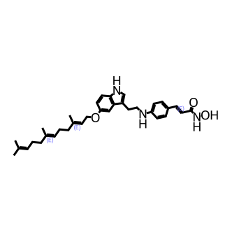 CC(C)=CCC/C(C)=C/CC/C(C)=C/COc1ccc2[nH]cc(CCNc3ccc(/C=C/C(=O)NO)cc3)c2c1